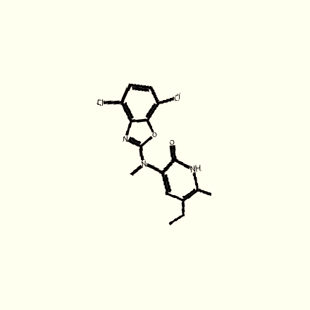 CCc1cc(N(C)c2nc3c(Cl)ccc(Cl)c3o2)c(=O)[nH]c1C